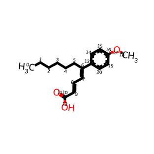 CCCCCCC(=CC=CC(=O)O)c1ccc(OC)cc1